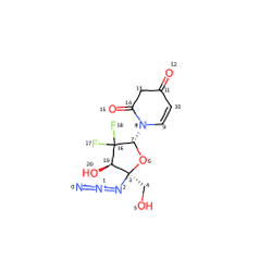 [N-]=[N+]=N[C@]1(CO)O[C@@H](N2C=CC(=O)CC2=O)C(F)(F)[C@@H]1O